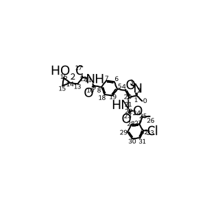 Cc1noc(-c2ccc(C(=O)NC(CC3CC3)C(=O)O)cc2)c1NC(=O)OC(C)c1ccccc1Cl